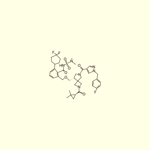 CN(C)S(=O)(=O)NC(=O)c1c(COC[C@@H]2CN(C(=O)c3cnn(Cc4ccc(F)cc4)c3)CC23CN(C(=O)[C@H]2CC2(C)C)C3)cccc1C1CCC(F)(F)CC1